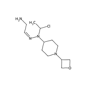 CC(Cl)N(/N=C\CN)C1CCN(C2COC2)CC1